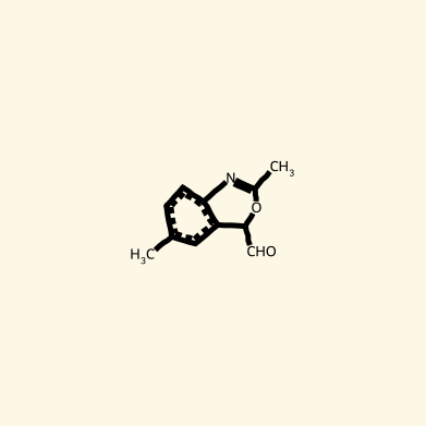 CC1=Nc2ccc(C)cc2C(C=O)O1